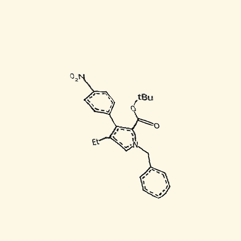 CCc1cn(Cc2ccccc2)c(C(=O)OC(C)(C)C)c1-c1ccc([N+](=O)[O-])cc1